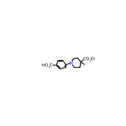 CCOC(=O)C1(C)CCN(c2ccc(C(=O)O)cc2)CC1